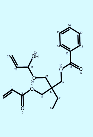 C=CC(=O)OCC(CC)(COC(=O)c1ccccc1)COC(O)C=C